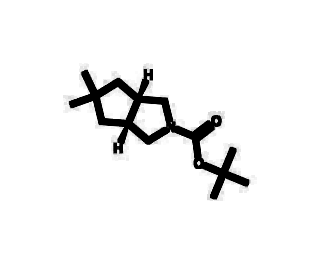 CC1(C)C[C@H]2CN(C(=O)OC(C)(C)C)C[C@H]2C1